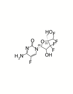 Nc1nc(=O)n([C@@H]2O[C@@](CO)(C(F)F)C(F)(F)C2O)cc1F